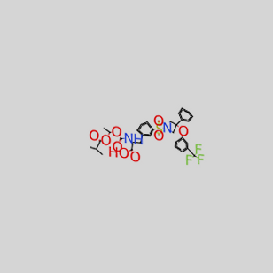 CC(OC(=O)NC(Cc1cccc(S(=O)(=O)N2CC(Oc3cccc(C(F)(F)F)c3)(c3ccccc3)C2)c1)C(=O)O)OC(=O)C(C)C